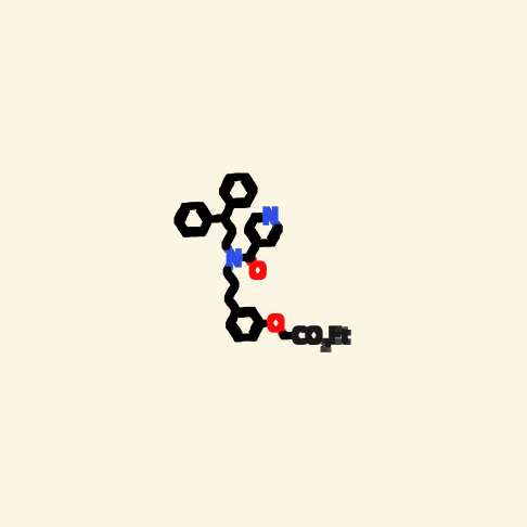 CCOC(=O)COc1cccc(CCCN(CCC(c2ccccc2)c2ccccc2)C(=O)c2ccncc2)c1